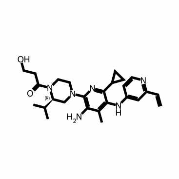 C=Cc1cc(Nc2c(C3CC3)nc(N3CCN(C(=O)CCO)[C@H](C(C)C)C3)c(N)c2C)ccn1